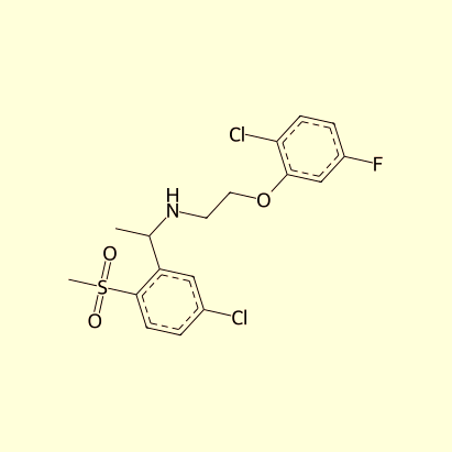 CC(NCCOc1cc(F)ccc1Cl)c1cc(Cl)ccc1S(C)(=O)=O